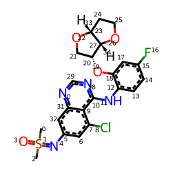 CS(C)(=O)=Nc1cc(Cl)c2c(Nc3ccc(F)cc3O[C@@H]3CO[C@@H]4CCO[C@@H]43)ncnc2c1